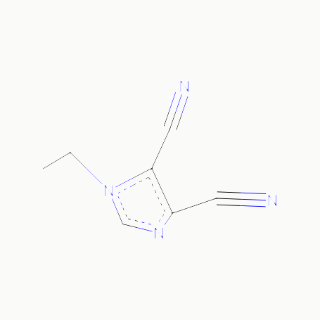 CCn1[c]nc(C#N)c1C#N